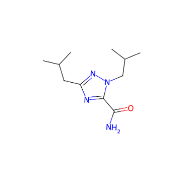 CC(C)Cc1nc(C(N)=O)n(CC(C)C)n1